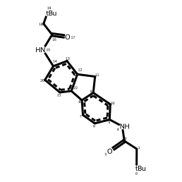 CC(C)(C)CC(=O)Nc1ccc2c(c1)Cc1cc(NC(=O)CC(C)(C)C)ccc1-2